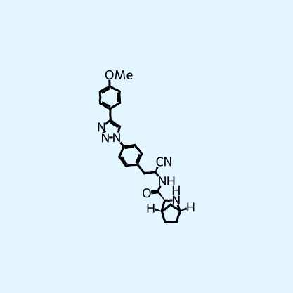 COc1ccc(-c2cn(-c3ccc(C[C@@H](C#N)NC(=O)[C@H]4N[C@@H]5CC[C@H]4C5)cc3)nn2)cc1